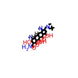 CCN(Cc1cc(O)c2c(c1N(C)C)C[C@H]1C[C@H]3[C@H](N(C)C)C(O)=C(C(N)=O)C(=O)[C@@]3(O)C(O)=C1C2=O)CC(C)(C)C